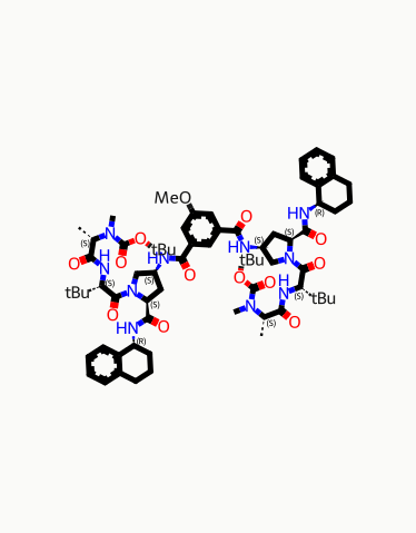 COc1cc(C(=O)N[C@H]2C[C@@H](C(=O)N[C@@H]3CCCc4ccccc43)N(C(=O)[C@@H](NC(=O)[C@H](C)N(C)C(=O)OC(C)(C)C)C(C)(C)C)C2)cc(C(=O)N[C@H]2C[C@@H](C(=O)N[C@@H]3CCCc4ccccc43)N(C(=O)[C@@H](NC(=O)[C@H](C)N(C)C(=O)OC(C)(C)C)C(C)(C)C)C2)c1